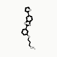 CCCCOc1cccc(-c2nc3ccc(-c4ccco4)cc3o2)c1